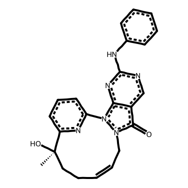 C[C@@]1(O)CC/C=C\Cn2c(=O)c3cnc(Nc4ccccc4)nc3n2-c2cccc1n2